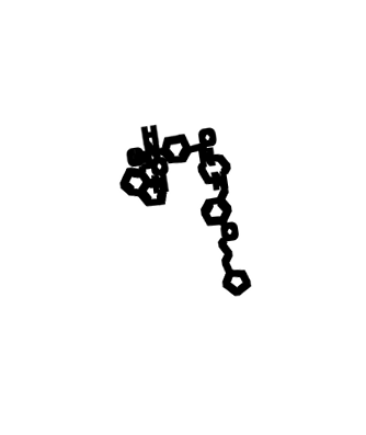 O=C(c1ccc(NS(=O)(=O)c2cccc3cccnc23)cc1)N1CCN(Cc2cccc(OCCCC3CCCC3)c2)CC1